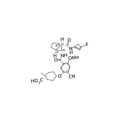 COc1cc(C#N)c(O[C@H]2CC[C@@](C)(C(=O)O)CC2)cc1C(=O)N[C@@H]1[C@H]2CC[C@H](C2)[C@@H]1C(=O)NC12CC(F)(C1)C2